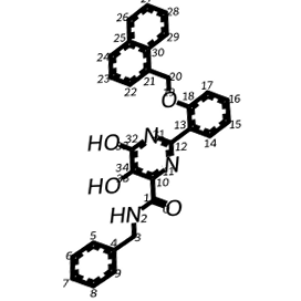 O=C(NCc1ccccc1)c1nc(-c2ccccc2OCc2cccc3ccccc23)nc(O)c1O